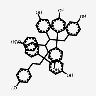 Oc1ccc(CCC(CC(c2ccc(O)cc2)C(c2ccc(O)cc2)C(Cc2ccc(O)cc2)(c2ccc(O)cc2)c2ccc(O)cc2)(c2ccc(O)cc2)c2ccc(O)cc2)cc1